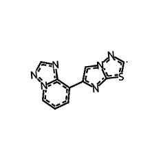 [c]1nn2cc(-c3cccn4ncnc34)nc2s1